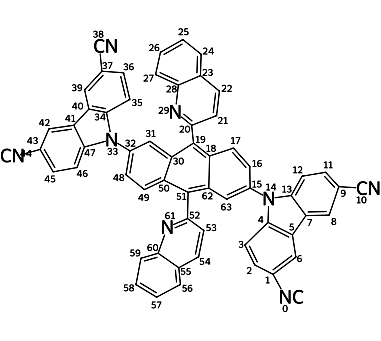 [C-]#[N+]c1ccc2c(c1)c1cc(C#N)ccc1n2-c1ccc2c(-c3ccc4ccccc4n3)c3cc(-n4c5ccc(C#N)cc5c5cc([N+]#[C-])ccc54)ccc3c(-c3ccc4ccccc4n3)c2c1